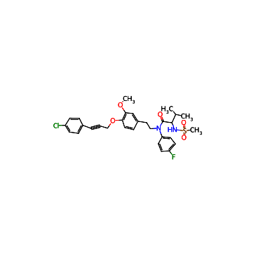 COc1cc(CCN(C(=O)C(NS(C)(=O)=O)C(C)C)c2ccc(F)cc2)ccc1OCC#Cc1ccc(Cl)cc1